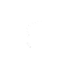 O=[N+]([O-])c1cn2c(n1)OC(COc1ccc(N3CCN(Cc4ccc(NCc5ccc(OC(F)(F)F)cc5)cc4)CC3)cc1)CC2